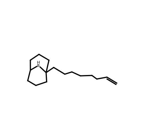 C=CCCCCCCC12BC(CCC1)CCC2